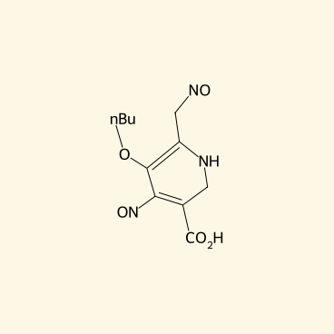 CCCCOC1=C(CN=O)NCC(C(=O)O)=C1N=O